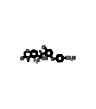 C[C@@H](c1cc(Oc2ccc(C(=O)O)cc2)ccc1Cl)[C@](O)(c1ccc2c(c1)N(C)C(=O)CO2)C(F)(F)F